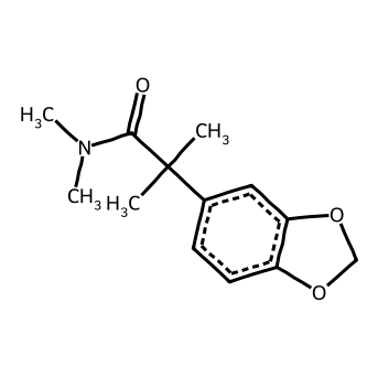 CN(C)C(=O)C(C)(C)c1ccc2c(c1)OCO2